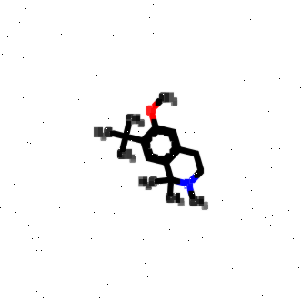 COc1cc2c(cc1C(C)(C)C)C(C)(C)N(C)CC2